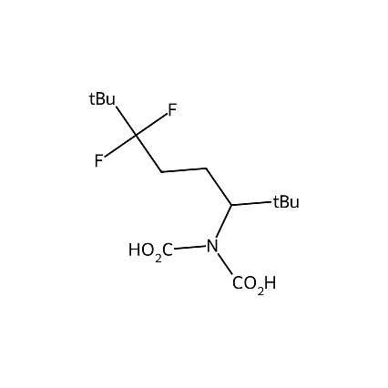 CC(C)(C)C(CCC(F)(F)C(C)(C)C)N(C(=O)O)C(=O)O